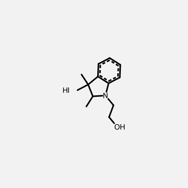 CC1N(CCO)c2ccccc2C1(C)C.I